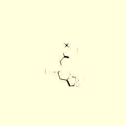 C[C@H](CC1=CNNN1)OCC(=O)OC(C)(C)C